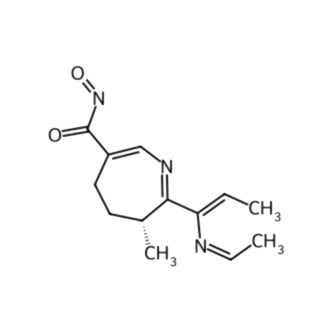 C/C=N\C(=C/C)C1=NC=C(C(=O)N=O)CC[C@H]1C